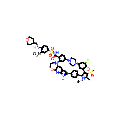 Cc1c(S(C)(=O)=O)c(-c2cc(F)cc(N3CCN(c4ccc(C(=O)NS(=O)(=O)c5ccc(NCC6CCOCC6)c([N+](=O)[O-])c5)c(N5CCCOc6nc7[nH]ccc7cc65)c4)CC3)c2)c(-c2ccc(Cl)cc2)n1C(C)C